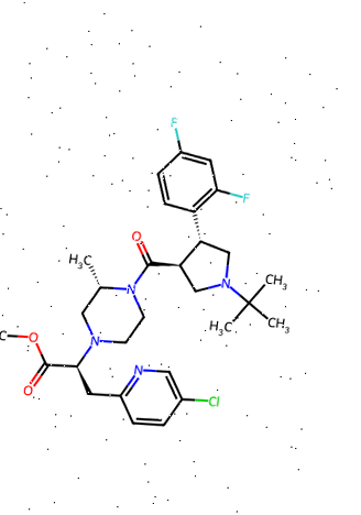 COC(=O)[C@H](Cc1ccc(Cl)cn1)N1CCN(C(=O)[C@@H]2CN(C(C)(C)C)C[C@H]2c2ccc(F)cc2F)[C@@H](C)C1